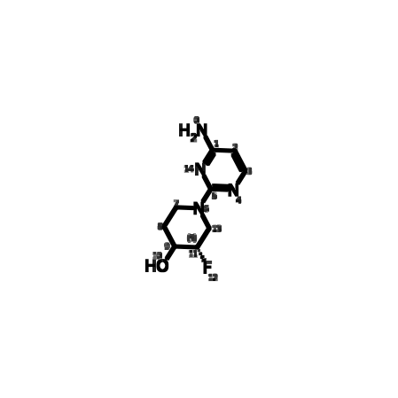 Nc1ccnc(N2CCC(O)[C@@H](F)C2)n1